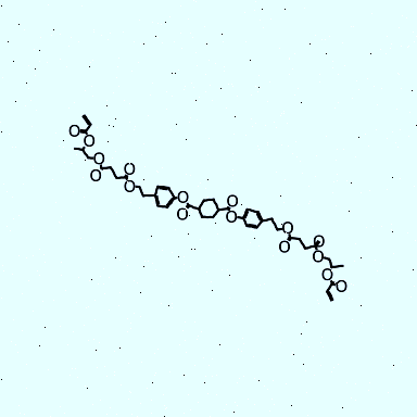 C=CC(=O)OC(C)COC(=O)CCC(=O)OCCc1ccc(OC(=O)C2CCC(C(=O)Oc3ccc(CCOC(=O)CCC(=O)OCC(C)OC(=O)C=C)cc3)CC2)cc1